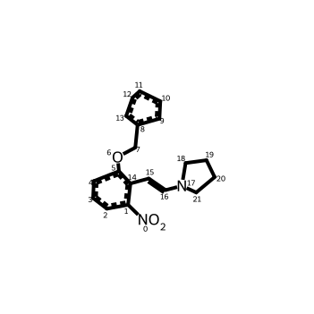 O=[N+]([O-])c1cccc(OCc2ccccc2)c1C=CN1CCCC1